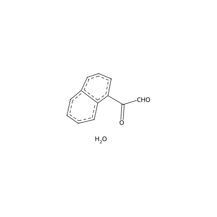 O.O=CC(=O)c1cccc2ccccc12